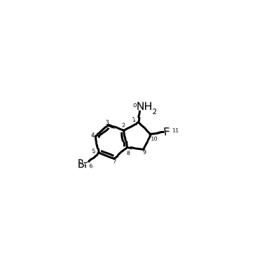 NC1c2ccc(Br)cc2CC1F